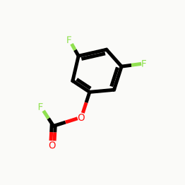 O=C(F)Oc1cc(F)cc(F)c1